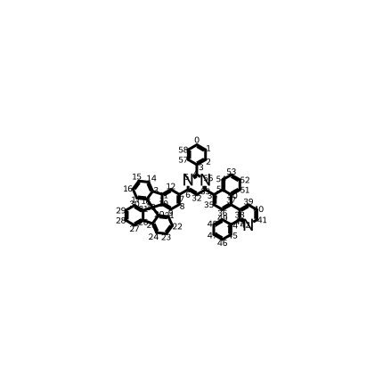 c1ccc(-c2nc(-c3ccc4c(c3)-c3ccccc3C43c4ccccc4-c4ccccc43)cc(-c3ccc(-c4cccnc4-c4ccccc4)c4ccccc34)n2)cc1